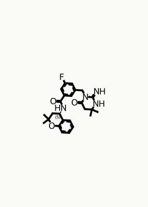 CC1(C)CC(=O)N(Cc2cc(F)cc(C(=O)N[C@H]3CC(C)(C)Oc4ccccc43)c2)C(=N)N1